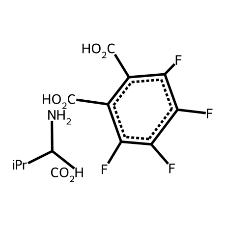 CC(C)C(N)C(=O)O.O=C(O)c1c(F)c(F)c(F)c(F)c1C(=O)O